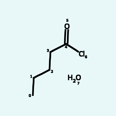 CCCCC(=O)Cl.O